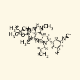 [C-]#[N+]c1cc(F)cc(-c2cc3c4c(ncn4C)c(N(C)C(=O)OC(C)(C)C)nc3n2CC=C)c1